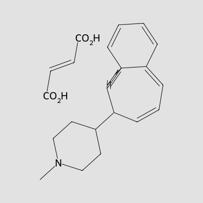 CN1CCC(C2C=CC=C3C=CC=CC34CC=CC=C24)CC1.O=C(O)C=CC(=O)O